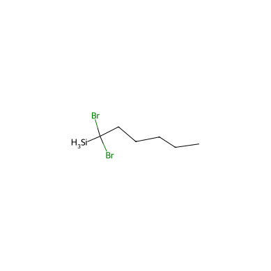 CCCCCC([SiH3])(Br)Br